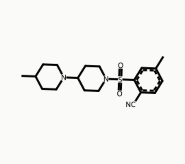 Cc1ccc(C#N)c(S(=O)(=O)N2CCC(N3CCC(C)CC3)CC2)c1